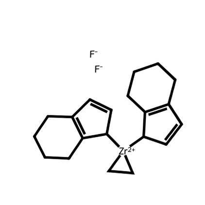 C1=C[CH]([Zr+2]2([CH]3C=CC4=C3CCCC4)[CH2][CH2]2)C2=C1CCCC2.[F-].[F-]